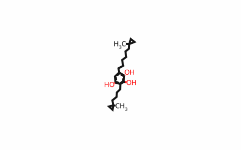 CC1(CCCCCCc2cc(O)c(CCCCC3(C)CC3)c(O)c2O)CC1